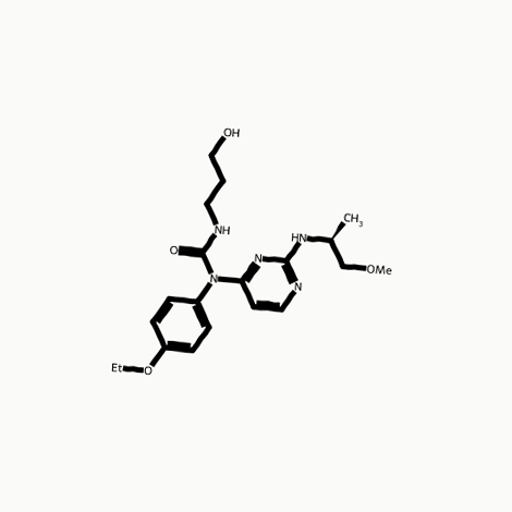 CCOc1ccc(N(C(=O)NCCCO)c2ccnc(N[C@@H](C)COC)n2)cc1